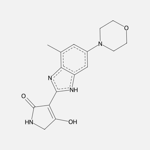 Cc1cc(N2CCOCC2)cc2[nH]c(C3=C(O)CNC3=O)nc12